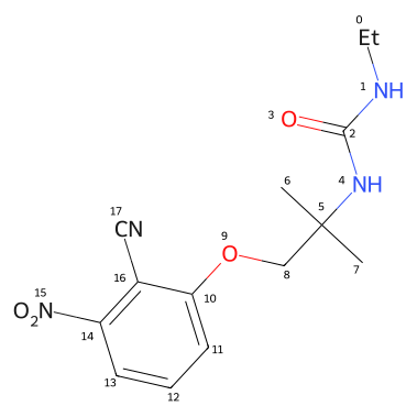 CCNC(=O)NC(C)(C)COc1cccc([N+](=O)[O-])c1C#N